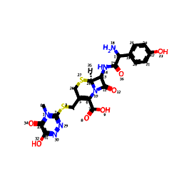 Cn1c(SCC2=C(C(=O)O)N3C(=O)C(NC(=O)C(N)c4ccc(O)cc4)[C@@H]3SC2)nnc(O)c1=O